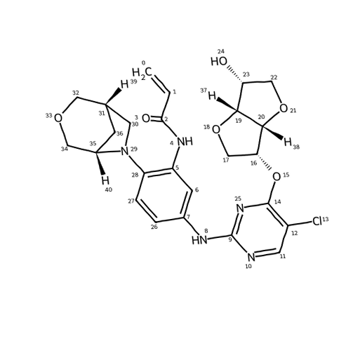 C=CC(=O)Nc1cc(Nc2ncc(Cl)c(O[C@@H]3CO[C@H]4[C@@H]3OC[C@H]4O)n2)ccc1N1C[C@H]2COC[C@@H]1C2